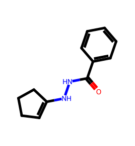 O=C(NNC1=CCCC1)c1ccccc1